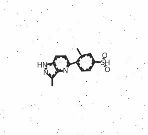 Cc1cc([SH](=O)=O)ccc1-c1ccc2[nH]nc(C)c2n1